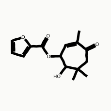 CC1=CC(OC(=O)c2ccco2)C(O)C(C)(C)CC1=O